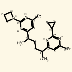 CCc1cc(C(C)CCC(C)c2cc(C(C)C)nc(C3CC3)n2)nc(N2CCC2)n1